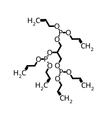 C=CCOP(OCC=C)OCC(COP(OCC=C)OCC=C)OP(OCC=C)OCC=C